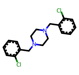 Clc1ccccc1CN1CCN(Cc2ccccc2Cl)CC1